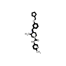 Cc1ccc(NC(=O)N2CC/C(=C\c3cccc(OCC4CCCC4)c3)C(C)C2)cn1